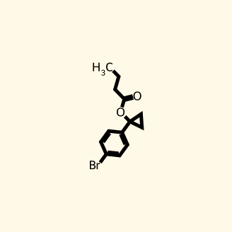 CCCC(=O)OC1(c2ccc(Br)cc2)CC1